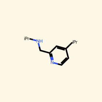 CC(C)NCc1cc(C(C)C)ccn1